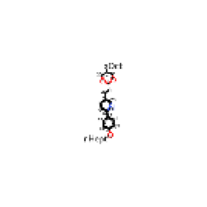 CCCCCCCC[C@H]1CO[C@H](CCc2ccc(-c3ccc(OCCCCCCC)cc3)nc2)OC1